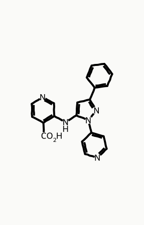 O=C(O)c1ccncc1Nc1cc(-c2ccccc2)nn1-c1ccncc1